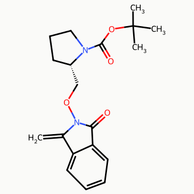 C=C1c2ccccc2C(=O)N1OC[C@@H]1CCCN1C(=O)OC(C)(C)C